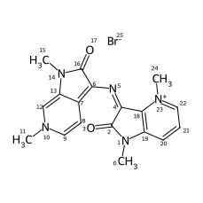 CN1C(=O)C(=Nc2c3ccn(C)cc-3n(C)c2=O)c2c1ccc[n+]2C.[Br-]